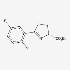 CCOC(=O)[C@H]1CCC(c2cc(F)ccc2F)=N1